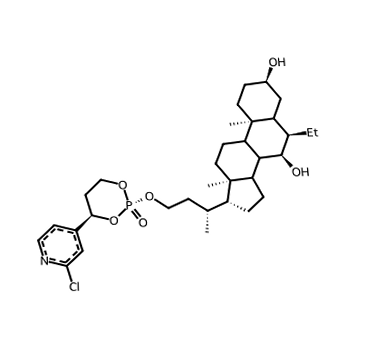 CC[C@@H]1C2C[C@H](O)CC[C@]2(C)C2CC[C@@]3(C)C(CC[C@@H]3[C@H](C)CCO[P@@]3(=O)OCC[C@H](c4ccnc(Cl)c4)O3)C2[C@@H]1O